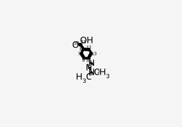 CN(C)N=Nc1ccc(C(=O)O)cc1